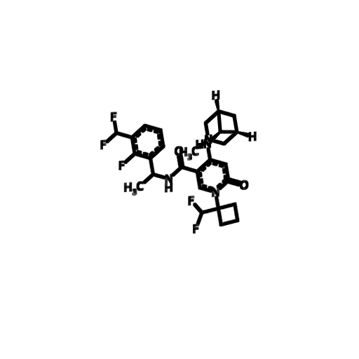 CC(NC(=O)c1cn(C2(C(F)F)CCC2)c(=O)cc1N[C@@H]1[C@@H]2C[C@H]1CN(C)C2)c1cccc(C(F)F)c1F